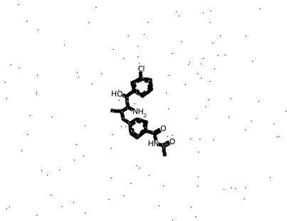 CC(=O)NC(=O)c1ccc(CC(C)C(N)C(O)c2cccc(Cl)c2)cc1